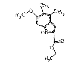 CCOC(=O)c1cc2c(C)c(C)c(OC)cc2[nH]1